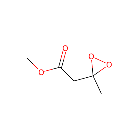 COC(=O)CC1(C)OO1